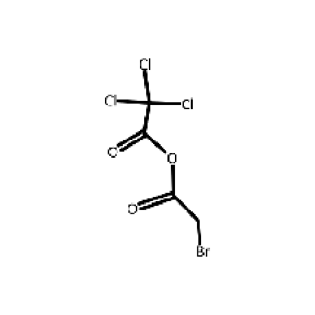 O=C(CBr)OC(=O)C(Cl)(Cl)Cl